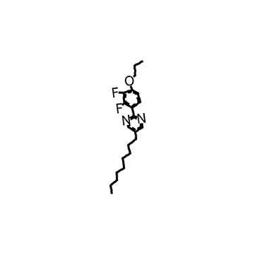 CCCCCCCCCc1cnc(-c2ccc(OCCC)c(F)c2F)nc1